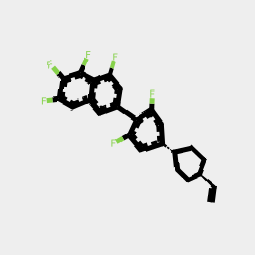 C=C[C@H]1CC[C@H](c2cc(F)c(-c3cc(F)c4c(F)c(F)c(F)cc4c3)c(F)c2)CC1